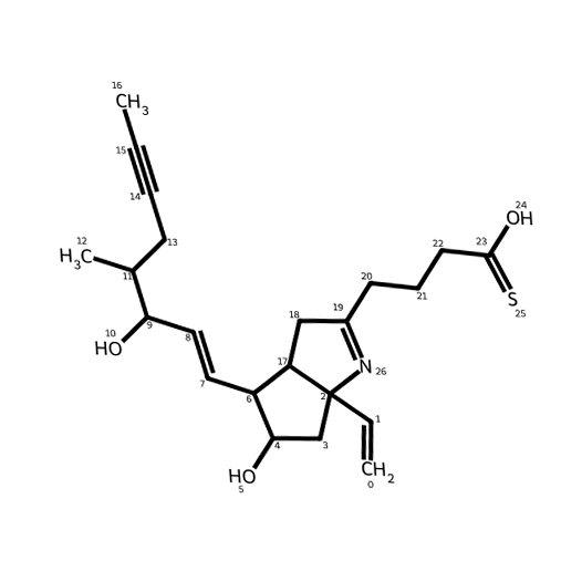 C=CC12CC(O)C(C=CC(O)C(C)CC#CC)C1CC(CCCC(O)=S)=N2